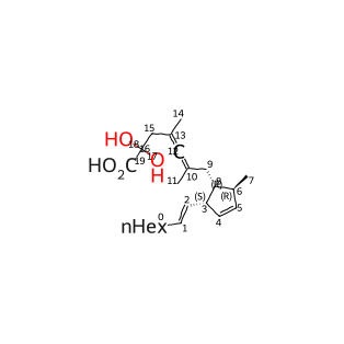 CCCCCCC=C[C@H]1C=C[C@H](C)[C@H]1CC(C)=C=C(C)CC(O)(O)C(=O)O